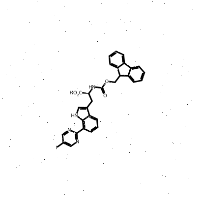 O=C(N[C@@H](Cc1c[nH]c2c(-c3ncc(I)cn3)cccc12)C(=O)O)OCC1c2ccccc2-c2ccccc21